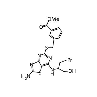 COC(=O)c1cccc(CSc2nc(NC(CO)CC(C)C)c3sc(N)nc3n2)c1